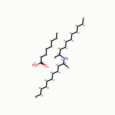 CCCCCCCC(=O)O.CCCCCCCCCC(C)NC(C)CCCCCCCCC